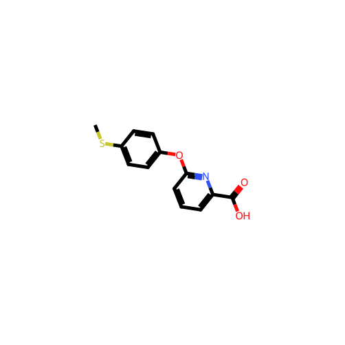 CSc1ccc(Oc2cccc(C(=O)O)n2)cc1